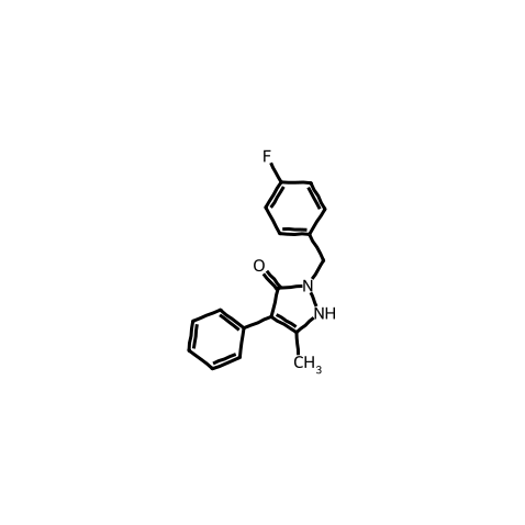 Cc1[nH]n(Cc2ccc(F)cc2)c(=O)c1-c1ccccc1